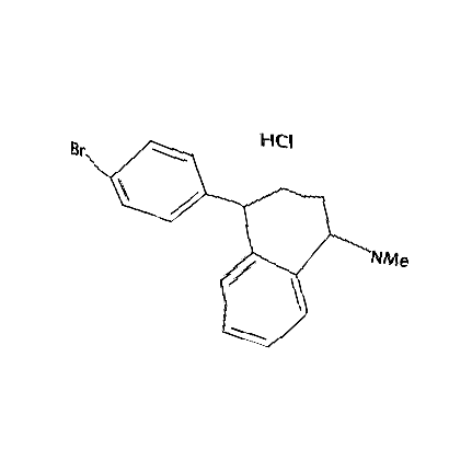 CNC1CCC(c2ccc(Br)cc2)c2ccccc21.Cl